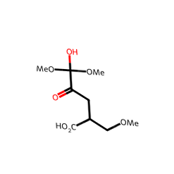 COCC(CC(=O)C(O)(OC)OC)C(=O)O